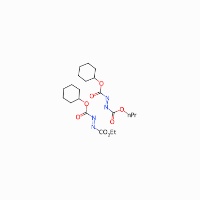 CCCOC(=O)N=NC(=O)OC1CCCCC1.CCOC(=O)N=NC(=O)OC1CCCCC1